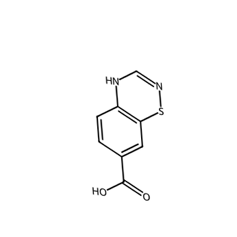 O=C(O)c1ccc2c(c1)SN=CN2